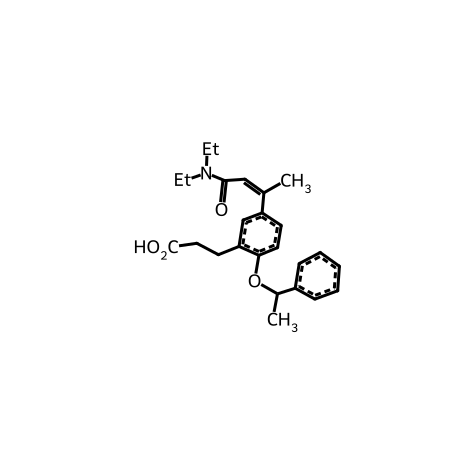 CCN(CC)C(=O)/C=C(/C)c1ccc(OC(C)c2ccccc2)c(CCC(=O)O)c1